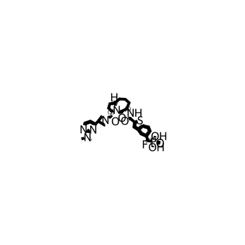 CN(C)c1nccc(C2CN(C(=O)[C@@H]3CC[C@@H]4CCC[C@H](NC(=O)c5cc6cc([C@@H](F)P(=O)(O)O)ccc6s5)C(=O)N43)C2)n1